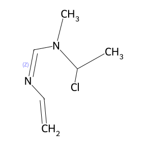 C=C/N=C\N(C)C(C)Cl